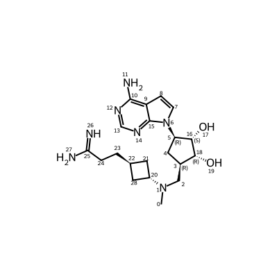 CN(C[C@H]1C[C@@H](n2ccc3c(N)ncnc32)[C@H](O)[C@@H]1O)[C@H]1C[C@H](CCC(=N)N)C1